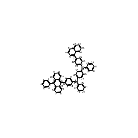 c1ccc(-c2c3ccccc3c(-c3ccc(N(c4ccccc4)c4ccc(N(c5ccccc5)c5ccc(-c6cccc7ccccc67)cc5)cc4)cc3)c3ccccc23)cc1